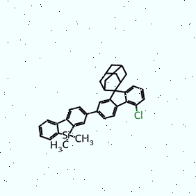 C[Si]1(C)c2ccccc2-c2ccc(-c3ccc4c(c3)C3(c5cccc(Cl)c5-4)C4CC5CC(C4)CC3C5)cc21